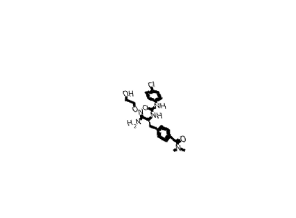 CN(C)C(=O)c1ccc(C[C@H](NC(=O)Nc2ccc(Cl)cc2)/C(N)=N/OCCO)cc1